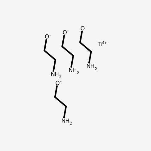 NCC[O-].NCC[O-].NCC[O-].NCC[O-].[Ti+4]